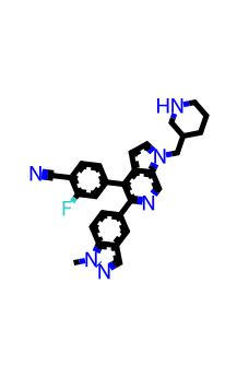 Cn1ncc2cc(-c3ncc4c(ccn4CC4CCCNC4)c3-c3ccc(C#N)c(F)c3)ccc21